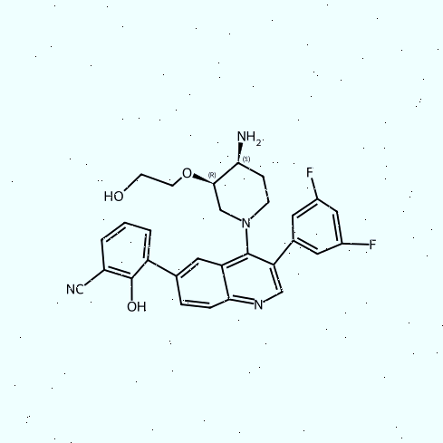 N#Cc1cccc(-c2ccc3ncc(-c4cc(F)cc(F)c4)c(N4CC[C@H](N)[C@H](OCCO)C4)c3c2)c1O